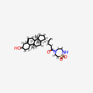 CC(CCC(=O)N1CCNS(=O)(=O)CC1)[C@H]1CC[C@H]2[C@@H]3CC=C4C[C@@H](O)CC[C@]4(C)[C@H]3CC[C@]12C